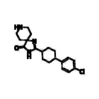 O=C1NC(C2CCC(c3ccc(Cl)cc3)CC2)=NC12CCNCC2